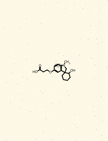 CN(C)CC1(c2cccc(OCCC(=O)O)c2)CCCCC1O